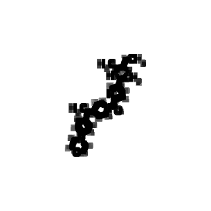 C=C(N[C@H](C)[C@H](F)CC)c1ccc(C(=O)N2CCC(C(=C)c3ccc(N4CCOCC4)cc3)CC2)nc1